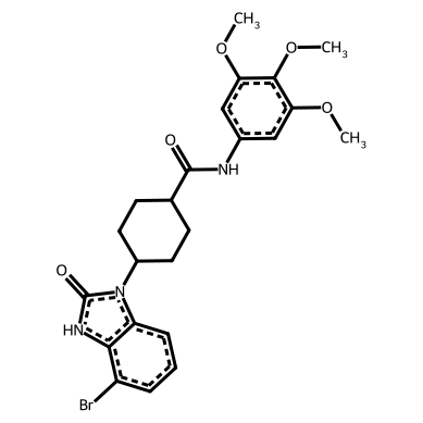 COc1cc(NC(=O)C2CCC(n3c(=O)[nH]c4c(Br)cccc43)CC2)cc(OC)c1OC